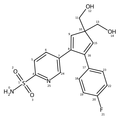 NS(=O)(=O)c1ccc(C2=CC(CO)(CO)C=C2c2ccc(F)cc2)cn1